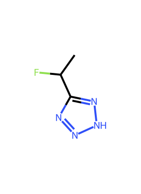 CC(F)c1nn[nH]n1